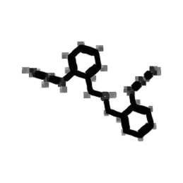 [N-]=[N+]=Nc1ccccc1COCc1ccccc1N=[N+]=[N-]